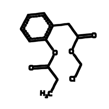 CCC(=O)Oc1ccccc1CC(=O)OCCl